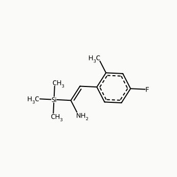 Cc1cc(F)ccc1/C=C(\N)[Si](C)(C)C